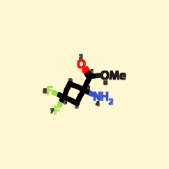 COC(=O)C1(N)CC(F)(F)C1